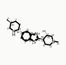 C[C@H]1CC[C@H](c2ccc3sc([C@@H]4CCN(C)C[C@H]4C)nc3c2)NC1